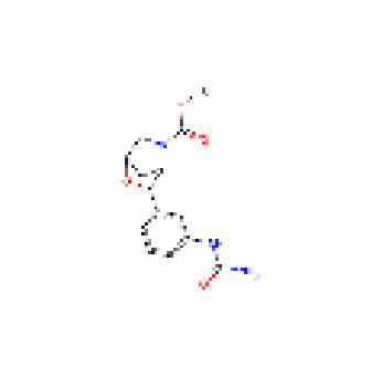 CC(C)(C)OC(=O)N1CC2CC1C(c1cccc(NC(N)=O)c1)O2